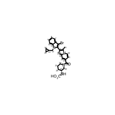 Cc1c(-c2c(Br)c3ccccc3n2CC2CC2)nc2cc(C(=O)N3CCC[C@@H](NC(=O)O)C3)ccn12